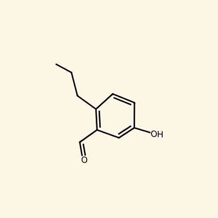 CCCc1ccc(O)cc1C=O